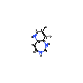 Cc1cnc2c(c1C)N=CN=C=C2